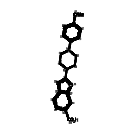 COc1ccc(N2CCN(c3nc4ccc(C(=O)O)cc4s3)CC2)cc1